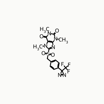 Cn1c(=O)c2c(nc(S(=O)(=O)Cc3ccc(C4(C(F)(F)F)N=N4)cc3)n2C)n(C)c1=O